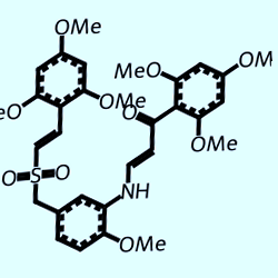 COc1cc(OC)c(/C=C/S(=O)(=O)Cc2ccc(OC)c(N/C=C/C(=O)c3c(OC)cc(OC)cc3OC)c2)c(OC)c1